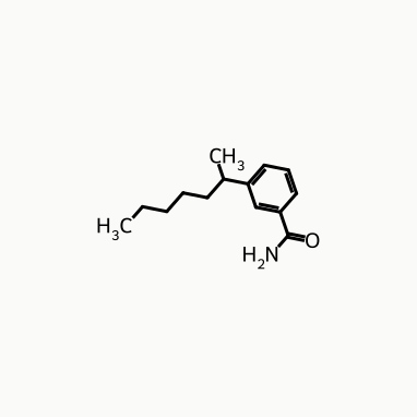 CCCCCC(C)c1cccc(C(N)=O)c1